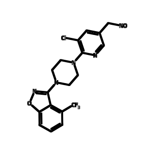 O=NCc1cnc(N2CCN(c3noc4cccc(C(F)(F)F)c34)CC2)c(Cl)c1